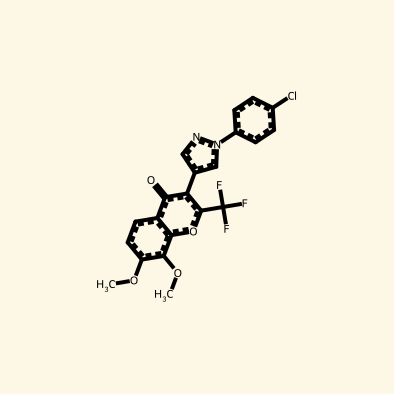 COc1ccc2c(=O)c(-c3cnn(-c4ccc(Cl)cc4)c3)c(C(F)(F)F)oc2c1OC